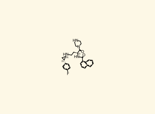 O=C(N[C@@H](CCN[C@@H]1C[C@H]1c1ccc(F)cc1)C(=O)N1CCNCC1)c1cccc2ccccc12